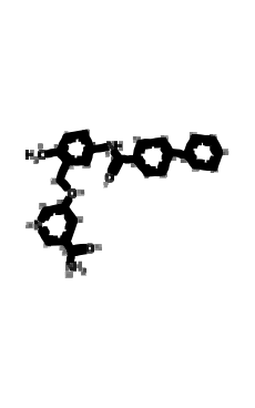 Cc1ccc(NC(=O)c2ccc(-c3ccccc3)cc2)cc1COc1cncc(C(N)=O)c1